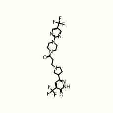 O=C(CCN1CCC(c2cc(C(F)(F)F)c(=O)[nH]n2)C1)N1CCN(c2ncc(C(F)(F)F)cn2)CC1